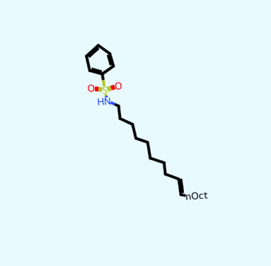 CCCCCCCCC=CCCCCCCCCNS(=O)(=O)c1ccccc1